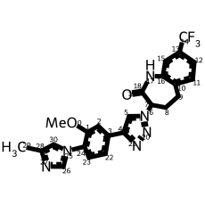 COc1cc(-c2cn(C3CCc4ccc(C(F)(F)F)cc4NC3=O)nn2)ccc1-n1cnc(C)c1